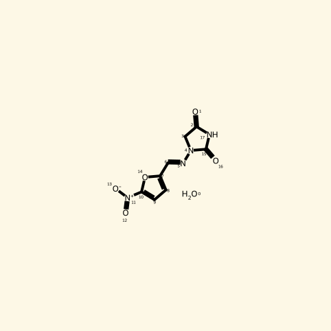 O.O=C1CN(N=Cc2ccc([N+](=O)[O-])o2)C(=O)N1